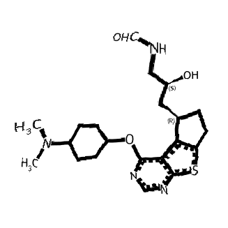 CN(C)C1CCC(Oc2ncnc3sc4c(c23)[C@@H](C[C@H](O)CNC=O)CC4)CC1